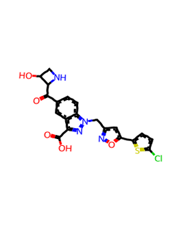 O=C(O)c1nn(Cc2cc(-c3ccc(Cl)s3)on2)c2ccc(C(=O)C3NCC3O)cc12